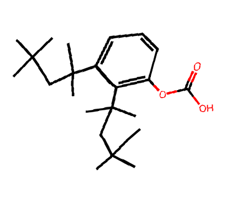 CC(C)(C)CC(C)(C)c1cccc(OC(=O)O)c1C(C)(C)CC(C)(C)C